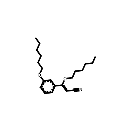 CCCCCCOC(=[C]C#N)c1cc[c]c(OCCCCCC)c1